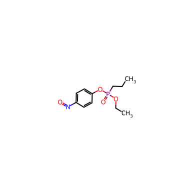 CCCP(=O)(OCC)Oc1ccc(N=O)cc1